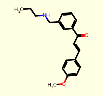 CCCNCc1cccc(C(=O)/C=C/c2ccc(OC)cc2)c1